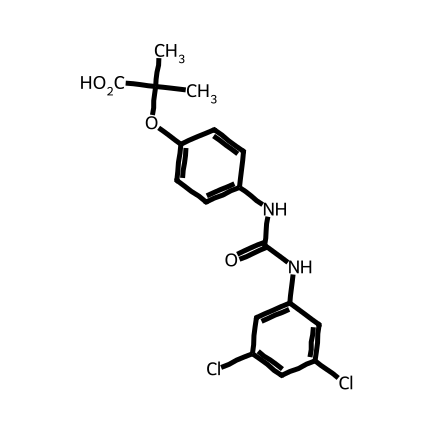 CC(C)(Oc1ccc(NC(=O)Nc2cc(Cl)cc(Cl)c2)cc1)C(=O)O